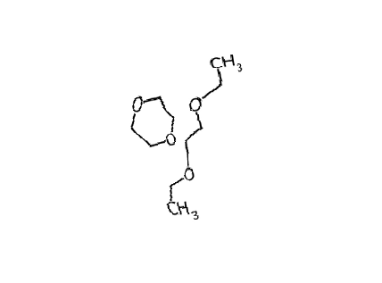 C1COCCO1.CCOCCOCC